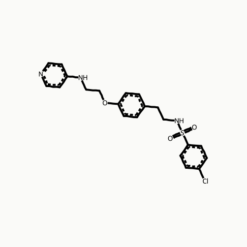 O=S(=O)(NCCc1ccc(OCCNc2ccncc2)cc1)c1ccc(Cl)cc1